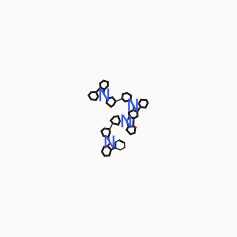 C1=Cc2c(c3ccccc3n2-c2cccc(-c3cccc(-n4c5ccccc5c5cc6c7ccccc7n(-c7cccc(-c8cccc(-n9c%10ccccc%10c%10ccccc%109)c8)c7)c6cc54)c3)c2)CC1